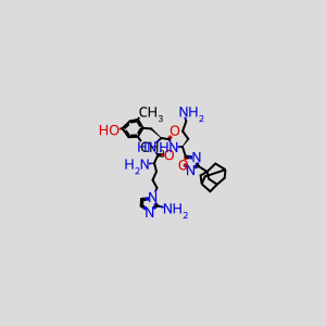 Cc1cc(O)cc(C)c1C[C@H](NC(=O)[C@H](N)CCCn1ccnc1N)C(=O)N[C@@H](CCCN)c1nc(C23CC4CC(CC(C4)C2)C3)no1